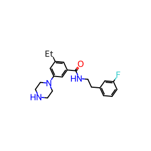 CCc1cc(C(=O)NCCc2cccc(F)c2)cc(N2CCNCC2)c1